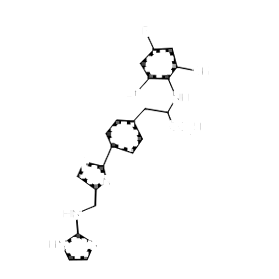 CCc1cc(F)cc(C)c1NC(Cc1ccc(-c2nc(CNc3ncc[nH]3)cs2)cc1)C(=O)O